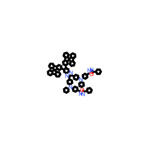 c1ccc(-c2nnc(-c3ccc(N(c4ccccc4)c4ccc(-c5nc6cc(-c7ccc8c(c7)C7(c9ccccc9-c9ccccc97)c7ccccc7-8)c(-c7ccc8c(c7)C7(c9ccccc9-c9ccccc97)c7ccccc7-8)cc6nc5-c5ccc(N(c6ccccc6)c6ccc(-c7nnc(-c8ccccc8)o7)cc6)cc5)cc4)cc3)o2)cc1